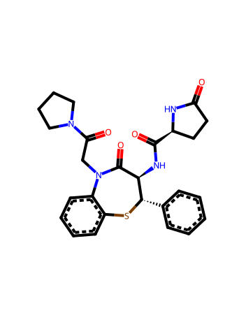 O=C1CC[C@@H](C(=O)N[C@@H]2C(=O)N(CC(=O)N3CCCC3)c3ccccc3S[C@H]2c2ccccc2)N1